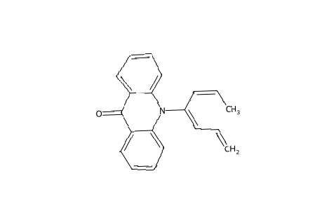 C=C/C=C(\C=C/C)n1c2ccccc2c(=O)c2ccccc21